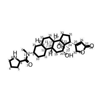 CN(C(=O)C1CCCN1)[C@H]1CC[C@@]2(C)[C@H](CC[C@@H]3[C@@H]2C[C@@H](O)[C@]2(C)[C@@H](C4=CC(=O)OC4)CC[C@]32O)C1